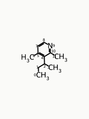 CCC(C)c1c(C)ccnc1C